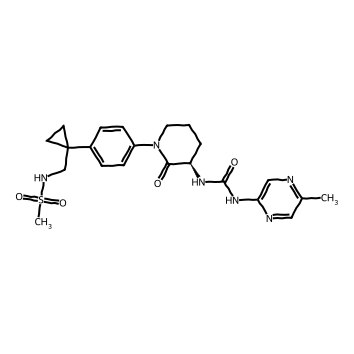 Cc1cnc(NC(=O)N[C@@H]2CCCN(c3ccc(C4(CNS(C)(=O)=O)CC4)cc3)C2=O)cn1